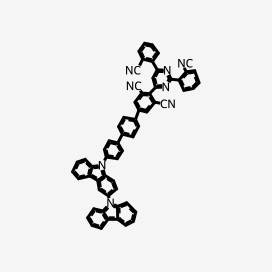 N#Cc1ccccc1-c1cc(-c2c(C#N)cc(-c3ccc(-c4ccc(-n5c6ccccc6c6cc(-n7c8ccccc8c8ccccc87)ccc65)cc4)cc3)cc2C#N)nc(-c2ccccc2C#N)n1